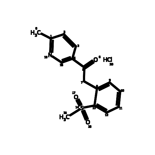 Cc1ccc(C(=O)Cc2ccccc2S(C)(=O)=O)cn1.Cl